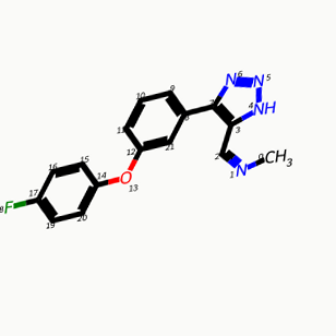 C/N=C\c1[nH]nnc1-c1cccc(Oc2ccc(F)cc2)c1